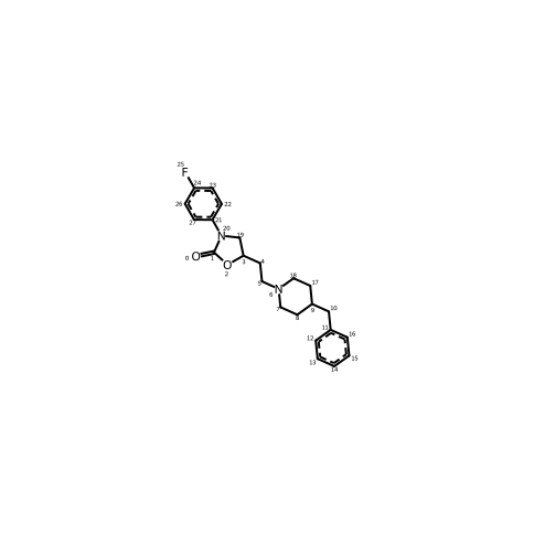 O=C1OC(CCN2CCC(Cc3ccccc3)CC2)CN1c1ccc(F)cc1